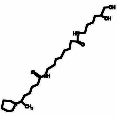 CC(CCCCC(=O)NCCCCCCCC(=O)NCCCCC(O)CO)N1CCCCC1